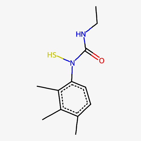 CCNC(=O)N(S)c1ccc(C)c(C)c1C